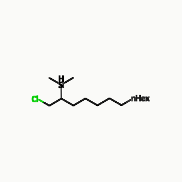 CCCCCCCCCCCC(CCl)[SiH](C)C